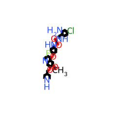 COc1cc2c(Oc3ccc(NC(=O)C(=O)NCc4ccc(Cl)cc4N)cc3F)ccnc2cc1OCC1CCNCC1